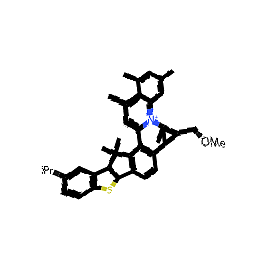 COCC1C2c3ccc4c(c3-c3cc(C)c5c(C)cc(C)cc5[n+]3C12C)C(C)(C)C1c2cc(C(C)C)ccc2SC41